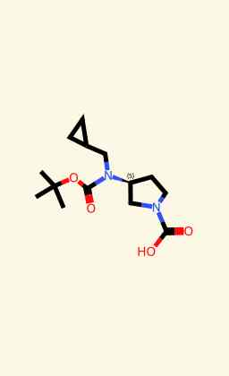 CC(C)(C)OC(=O)N(CC1CC1)[C@H]1CCN(C(=O)O)C1